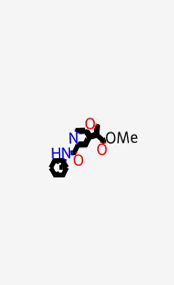 COC(=O)c1coc2cnc(C(=O)NC3CC4CCC3CC4)cc12